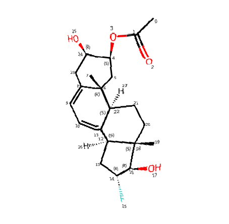 CC(=O)O[C@H]1C[C@@]2(C)C(=CC=C3[C@@H]4C[C@@H](F)[C@H](O)[C@@]4(C)CC[C@@H]32)C[C@H]1O